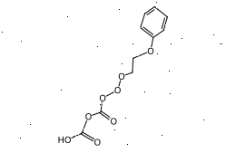 O=C(O)OC(=O)OOOCCOc1ccccc1